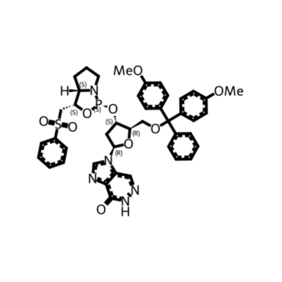 COc1ccc(C(OC[C@H]2O[C@@H](n3cnc4c(=O)[nH]ncc43)C[C@@H]2O[P@]2O[C@H](CS(=O)(=O)c3ccccc3)[C@@H]3CCCN32)(c2ccccc2)c2ccc(OC)cc2)cc1